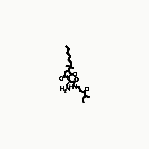 CCCCCCC(C)(C)C1CC(=O)N([C@@H](CN)C(=O)NCCC(=O)C(C)CC)C1=O